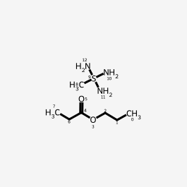 CCCOC(=O)CC.CS(N)(N)N